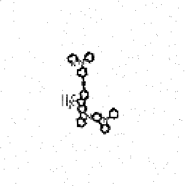 CC1(C)c2cc(C#Cc3ccc(N(c4ccccc4)c4ccccn4)cc3)ccc2-c2cc3c(cc21)c1ccccc1n3-c1ccc2c(c1)c1ccccc1n2-c1ccccc1